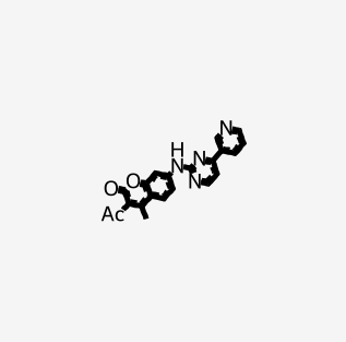 CC(=O)c1c(C)c2ccc(Nc3nccc(-c4cccnc4)n3)cc2oc1=O